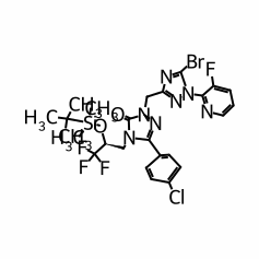 CC(C)(C)[Si](C)(C)O[C@@H](Cn1c(-c2ccc(Cl)cc2)nn(Cc2nc(Br)n(-c3ncccc3F)n2)c1=O)C(F)(F)F